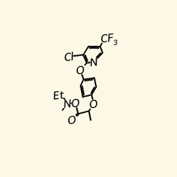 CCN(C)OC(=O)C(C)Oc1ccc(Oc2ncc(C(F)(F)F)cc2Cl)cc1